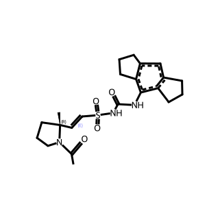 CC(=O)N1CCC[C@]1(C)/C=C/S(=O)(=O)NC(=O)Nc1c2c(cc3c1CCC3)CCC2